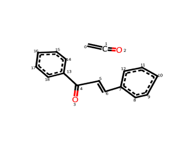 C=C=O.O=C(C=Cc1ccccc1)c1ccccc1